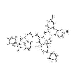 CC(C)(C)[Si](OC/C=C\CO[C@@H]1O[C@@H]2COC(c3ccccc3)O[C@H]2[C@H](OCc2ccc(Br)cc2)[C@@H]1OCc1ccc(Br)cc1)(c1ccccc1)c1ccccc1